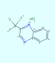 Cl.FC(F)(F)c1cnc2ccccc2n1